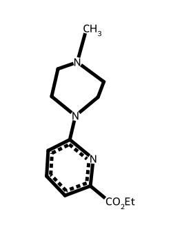 CCOC(=O)c1cccc(N2CCN(C)CC2)n1